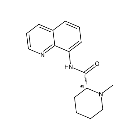 CN1CCCC[C@@H]1C(=O)Nc1cccc2cccnc12